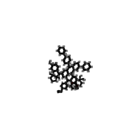 CC(C)(C)c1ccc(N2c3cc4c(cc3B3c5cc(-c6ccccc6)ccc5N(c5ccc(-c6ccccc6)cc5)c5cc(N6c7ccc(F)cc7C7(C)CCCC67C)cc2c53)C(C)(C)CCC4(C)C)c(-c2ccccc2)c1